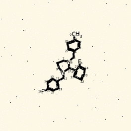 Cc1ccc(CN2CCCN(Cc3ccc(F)cc3)C2c2ccccc2F)cc1